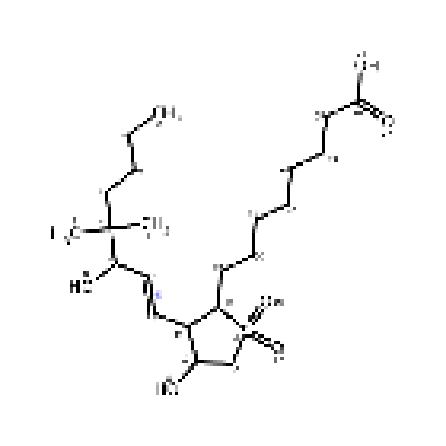 CCCCC(C)(C)C(O)/C=C/C1C(O)CS(=O)(=O)C1CCCCCCCC(=O)O